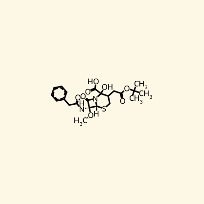 CO[C@@]1(NC(=O)Cc2ccccc2)C(=O)N2[C@@H]1SCC(CC(=O)OC(C)(C)C)C2(O)C(=O)O